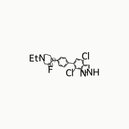 CCN1CC[C@@H](c2ccc(-c3cc(Cl)c4c[nH]nc4c3Cl)cc2)[C@H](F)C1